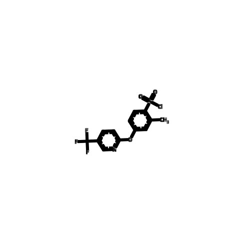 Cc1cc(Oc2ccc(C(F)(F)F)cn2)ccc1S(=O)(=O)Cl